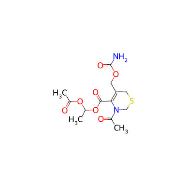 CC(=O)OC(C)OC(=O)C1=C(COC(N)=O)CSCN1C(C)=O